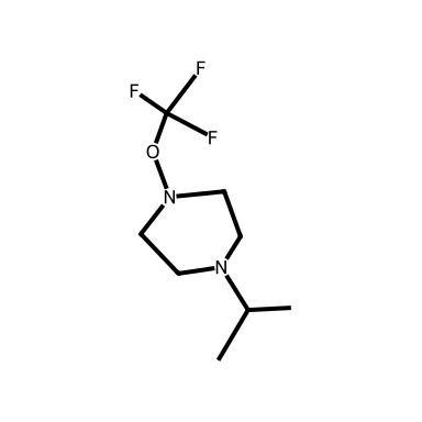 CC(C)N1CCN(OC(F)(F)F)CC1